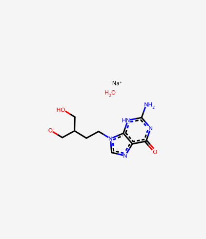 Nc1nc(=O)c2ncn(CCC(C[O-])CO)c2[nH]1.O.[Na+]